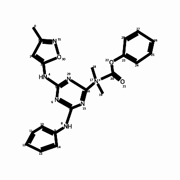 Cc1cc(Nc2nc(Nc3ccccc3)nc([N+](C)(C)C(=O)Oc3cc[c]cc3)n2)on1